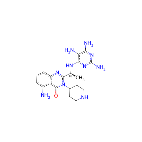 C[C@H](Nc1nc(N)nc(N)c1N)c1nc2cccc(N)c2c(=O)n1C1CCNCC1